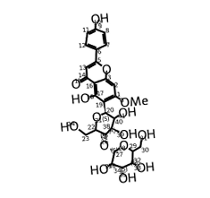 COc1cc2oc(-c3ccc(O)cc3)cc(=O)c2c(O)c1[C@@H]1OC(CO)[C@@H](O[C@@H]2OC(CO)[C@@H](O)[C@H](O)C2O)[C@H](O)C1O